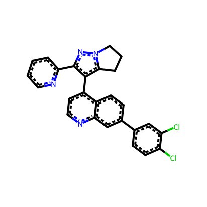 Clc1ccc(-c2ccc3c(-c4c(-c5ccccn5)nn5c4CCC5)ccnc3c2)cc1Cl